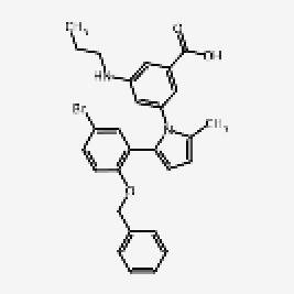 CCCNc1cc(C(=O)O)cc(-n2c(C)ccc2-c2cc(Br)ccc2OCc2ccccc2)c1